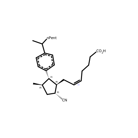 CCCCCC(C)c1ccc([C@@H]2[C@@H](C/C=C\CCCC(=O)O)[C@H](C#N)C[C@H]2C)cc1